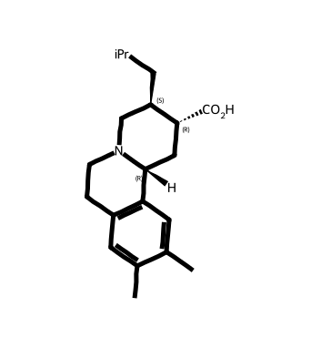 Cc1cc2c(cc1C)[C@H]1C[C@@H](C(=O)O)[C@H](CC(C)C)CN1CC2